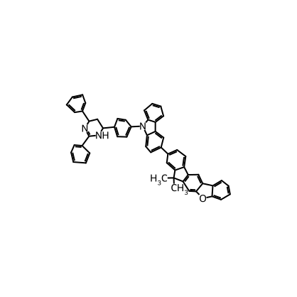 CC1(C)c2cc(-c3ccc4c(c3)c3ccccc3n4-c3ccc(C4CC(c5ccccc5)N=C(c5ccccc5)N4)cc3)ccc2-c2cc3c(cc21)oc1ccccc13